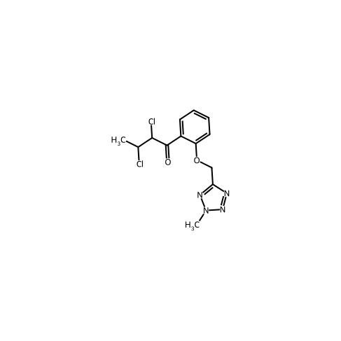 CC(Cl)C(Cl)C(=O)c1ccccc1OCc1nnn(C)n1